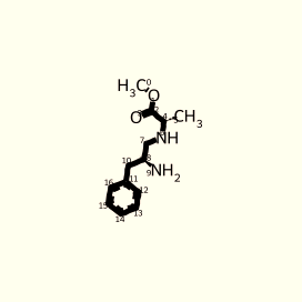 COC(=O)[C@H](C)NC[C@@H](N)Cc1ccccc1